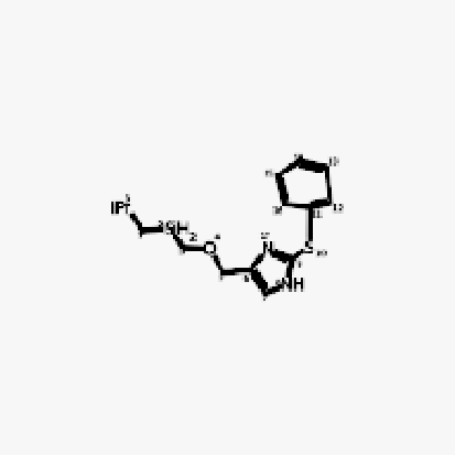 CC(C)C[SiH2]COCc1c[nH]c(Sc2ccccc2)n1